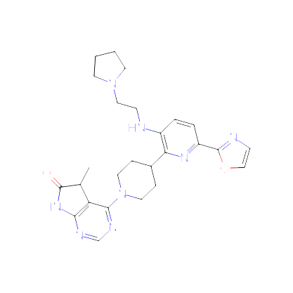 CC1C(=O)Nc2ncnc(N3CCC(c4nc(-c5ncco5)ccc4NCCN4CCCC4)CC3)c21